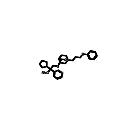 COC(COC1C[N+]2(CCCOc3ccccc3)CCC1CC2)(c1cccnc1)C1CCCC1